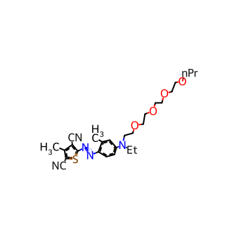 CCCOCCOCCOCCOCCN(CC)c1ccc(/N=N/c2sc(C#N)c(C)c2C#N)c(C)c1